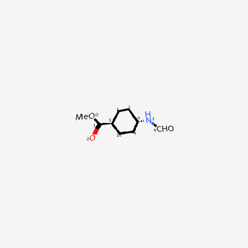 COC(=O)[C@H]1CC[C@H](NC=O)CC1